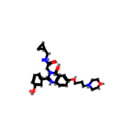 O=C(Cn1c(-c2cccc(O)c2)nc2ccc(OCCCN3CCOCC3)cc2c1=O)NCC1CC1